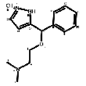 C.CN(C)CCOC(c1ccccc1)c1ccn[nH]1